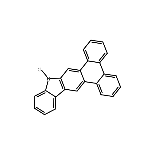 Cln1c2ccccc2c2cc3c4ccccc4c4ccccc4c3cc21